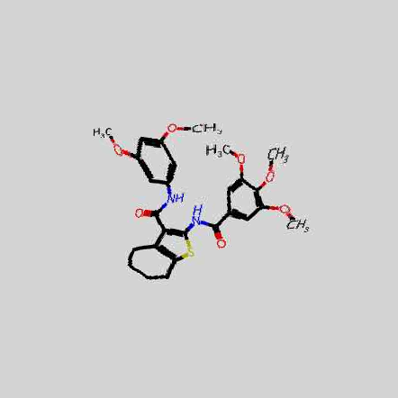 COc1cc(NC(=O)c2c(NC(=O)c3cc(OC)c(OC)c(OC)c3)sc3c2CCCC3)cc(OC)c1